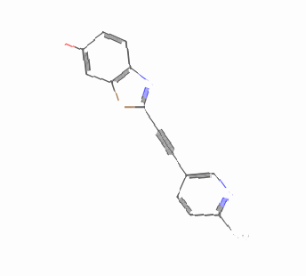 CNc1ccc(C#Cc2nc3ccc(O)cc3s2)cn1